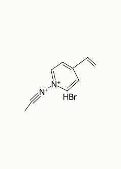 Br.C=Cc1cc[n+]([N+]#CC)cc1